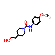 O=C(Nc1ccc(OC(F)(F)F)cc1)N1CCC(CCO)CC1